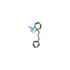 CN(C)C1[C]=CC=CC1(Cl)CCCc1ccccc1